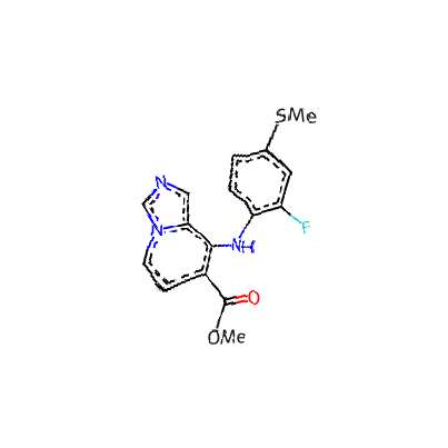 COC(=O)c1ccn2cncc2c1Nc1ccc(SC)cc1F